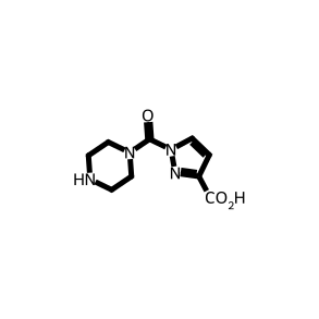 O=C(O)c1ccn(C(=O)N2CCNCC2)n1